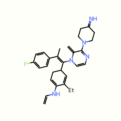 C=CNC1=CCC(/C(=C(/C)c2ccc(F)cc2)N2C=CN=C(N3CCC(=N)CC3)C2=C)C=C1CC